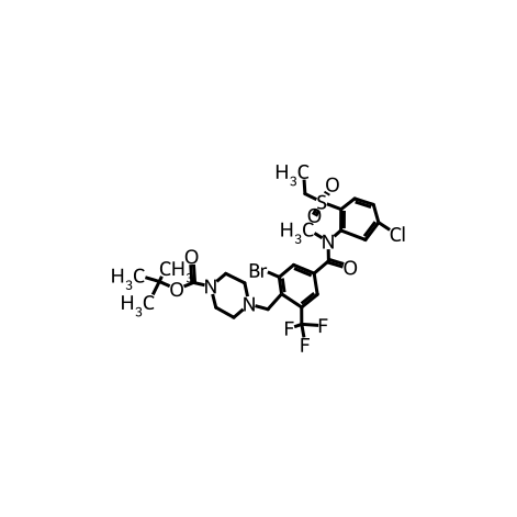 CCS(=O)(=O)c1ccc(Cl)cc1N(C)C(=O)c1cc(Br)c(CN2CCN(C(=O)OC(C)(C)C)CC2)c(C(F)(F)F)c1